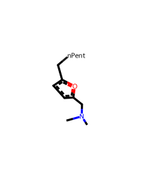 CCCCCCc1ccc(CN(C)C)o1